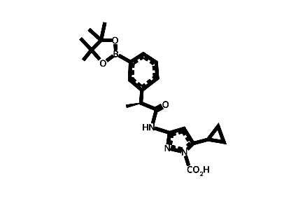 C[C@H](C(=O)Nc1cc(C2CC2)n(C(=O)O)n1)c1cccc(B2OC(C)(C)C(C)(C)O2)c1